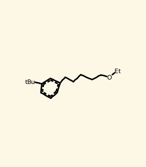 CCOCCCCCc1cccc(C(C)(C)C)c1